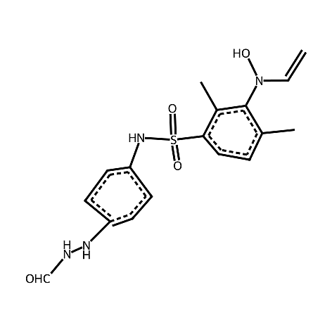 C=CN(O)c1c(C)ccc(S(=O)(=O)Nc2ccc(NNC=O)cc2)c1C